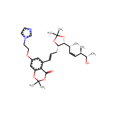 C[C@H](O)[C@H](C)/C=C\[C@@H](C)[C@H]1OC(C)(C)O[C@H]1C/C=C/c1cc(OCCn2ccnc2)cc2c1C(=O)OC(C)(C)O2